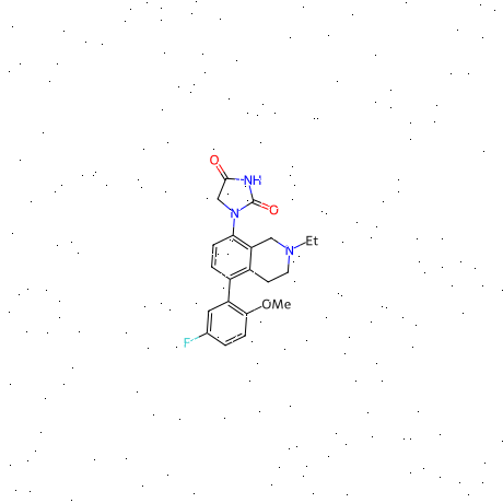 CCN1CCc2c(-c3cc(F)ccc3OC)ccc(N3CC(=O)NC3=O)c2C1